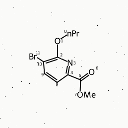 CCCOc1nc(C(=O)OC)ccc1Br